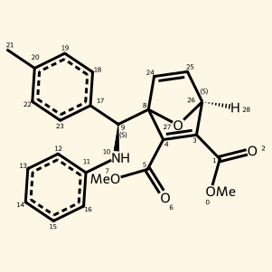 COC(=O)C1=C(C(=O)OC)C2([C@@H](Nc3ccccc3)c3ccc(C)cc3)C=C[C@@H]1O2